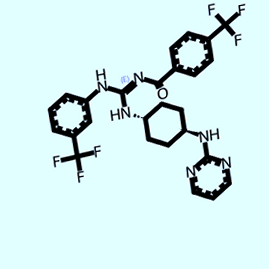 O=C(/N=C(/Nc1cccc(C(F)(F)F)c1)N[C@H]1CC[C@H](Nc2ncccn2)CC1)c1ccc(C(F)(F)F)cc1